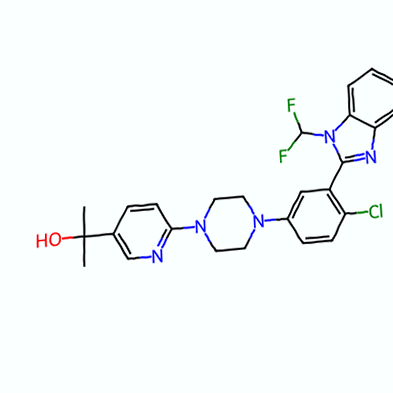 CC(C)(O)c1ccc(N2CCN(c3ccc(Cl)c(-c4nc5ccccc5n4C(F)F)c3)CC2)nc1